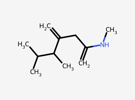 C=C(CC(=C)C(C)C(C)C)NC